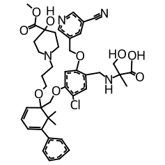 COC(=O)C1(O)CCN(CCCOC2(COc3cc(OCc4cncc(C#N)c4)c(CNC(C)(CO)C(=O)O)cc3Cl)C=CC=C(c3ccccc3)C2(C)C)CC1